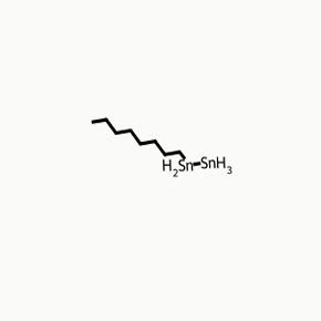 CCCCCCC[CH2][SnH2][SnH3]